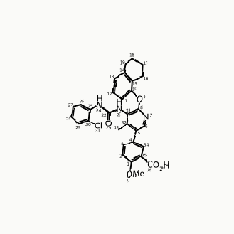 COc1ccc(-c2cnc(Oc3cccc4c3CCCC4)c(NC(=O)Nc3ccccc3Cl)c2C)cc1C(=O)O